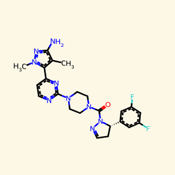 Cc1c(N)nn(C)c1-c1ccnc(N2CCN(C(=O)N3N=CC[C@H]3c3cc(F)cc(F)c3)CC2)n1